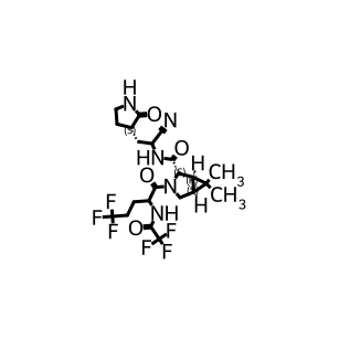 CC1(C)[C@@H]2[C@@H](C(=O)NC(C#N)C[C@@H]3CCNC3=O)N(C(=O)C(CCC(F)(F)F)NC(=O)C(F)(F)F)C[C@@H]21